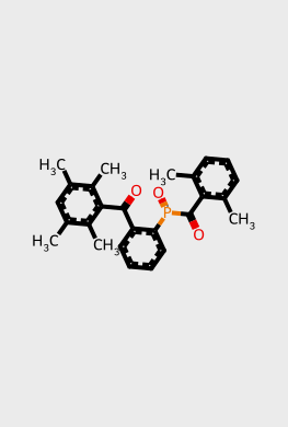 Cc1cc(C)c(C)c(C(=O)c2ccccc2[P](=O)C(=O)c2c(C)cccc2C)c1C